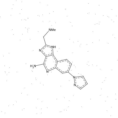 CNCc1nc2c(N)nc3cc(-n4cccn4)ccc3c2[nH]1